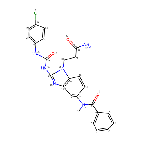 CN(C(=O)c1ccccc1)c1ccc2c(c1)nc(NC(=O)Nc1ccc(Cl)cc1)n2CCC(N)=O